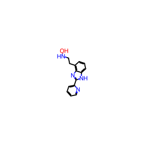 ONCCc1cccc2[nH]c(-c3ccccn3)nc12